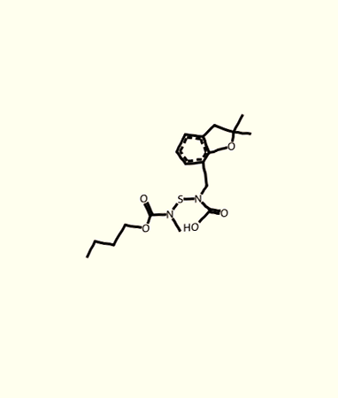 CCCCOC(=O)N(C)SN(Cc1cccc2c1OC(C)(C)C2)C(=O)O